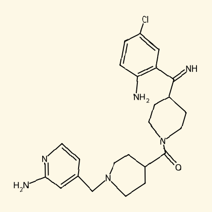 N=C(c1cc(Cl)ccc1N)C1CCN(C(=O)C2CCN(Cc3ccnc(N)c3)CC2)CC1